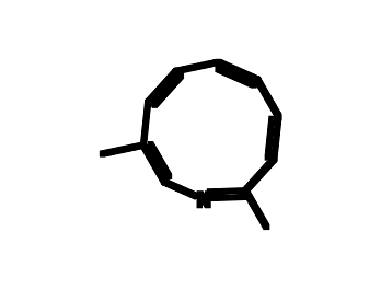 Cc1ccccccc(C)nc1